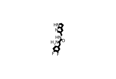 NC(Cc1ccc(F)c(F)c1)C(=O)NCc1cnc2[nH]ccc2c1